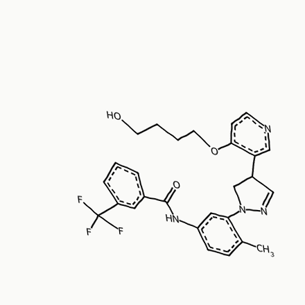 Cc1ccc(NC(=O)c2cccc(C(F)(F)F)c2)cc1N1CC(c2cnccc2OCCCCO)C=N1